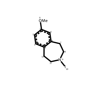 COc1ccc2c(c1)CCN(I)CC2